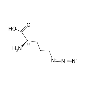 [N-]=[N+]=NCCC[C@@H](N)C(=O)O